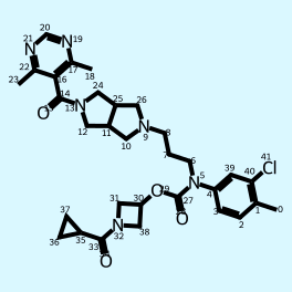 Cc1ccc(N(CCCN2CC3CN(C(=O)c4c(C)ncnc4C)CC3C2)C(=O)OC2CN(C(=O)C3CC3)C2)cc1Cl